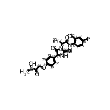 CC(C)C(C(=O)Nc1ccc(I)cc1Cl)N1C(=O)NC(c2ccc(OCC(=O)N(C)C)cc2)C1=O